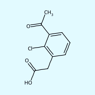 CC(=O)c1cccc(CC(=O)O)c1Cl